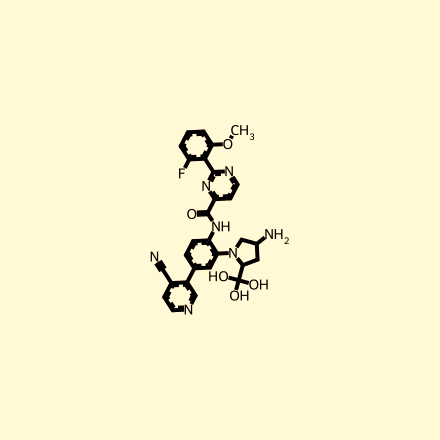 COc1cccc(F)c1-c1nccc(C(=O)Nc2ccc(-c3cnccc3C#N)cc2N2CC(N)CC2C(O)(O)O)n1